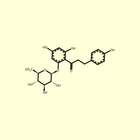 O=C(CCc1ccc(O)cc1)c1c(O)cc(O)cc1O[C@@H]1O[C@H](C(=O)O)[C@@H](O)[C@H](O)[C@H]1O